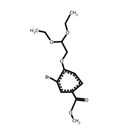 CCOC(COc1ccc(C(=O)OC)cc1Br)OCC